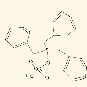 [O]=[Cr](=[O])([OH])[O][Si](Cc1ccccc1)(Cc1ccccc1)Cc1ccccc1